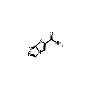 NC(=O)c1cn2cnnc2s1